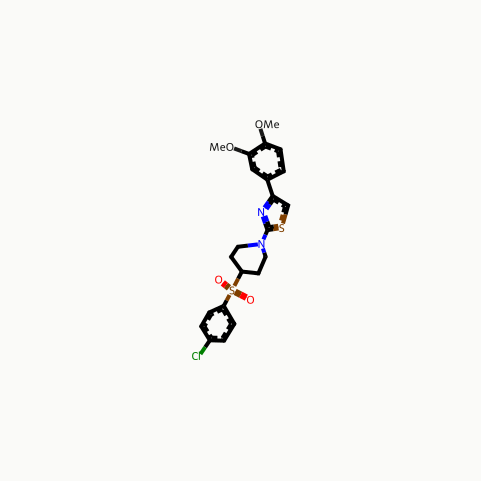 COc1ccc(-c2csc(N3CCC(S(=O)(=O)c4ccc(Cl)cc4)CC3)n2)cc1OC